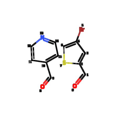 O=Cc1cc(Br)cs1.O=Cc1ccncc1